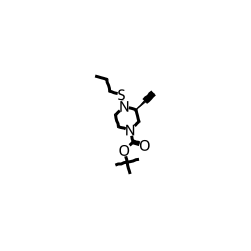 C#C[C@H]1CN(C(=O)OC(C)(C)C)CCN1SCCC